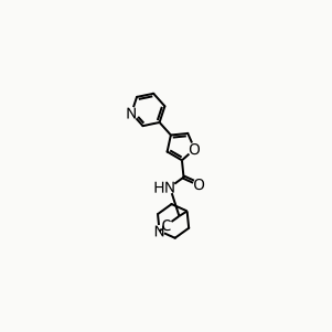 O=C(NC1CN2CCC1CC2)c1cc(-c2cccnc2)co1